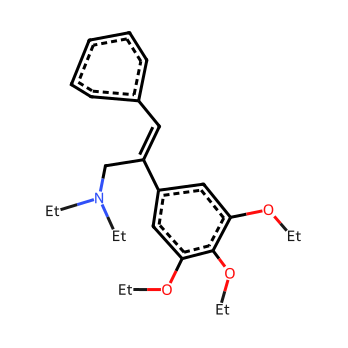 CCOc1cc(/C(=C/c2ccccc2)CN(CC)CC)cc(OCC)c1OCC